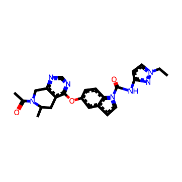 CCn1ccc(NC(=O)n2ccc3cc(Oc4ncnc5c4CC(C)N(C(C)=O)C5)ccc32)n1